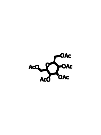 CC(=O)OCC1O[C@@H](COC(C)=O)C(OC(C)=O)C(OC(C)=O)[C@H]1OC(C)=O